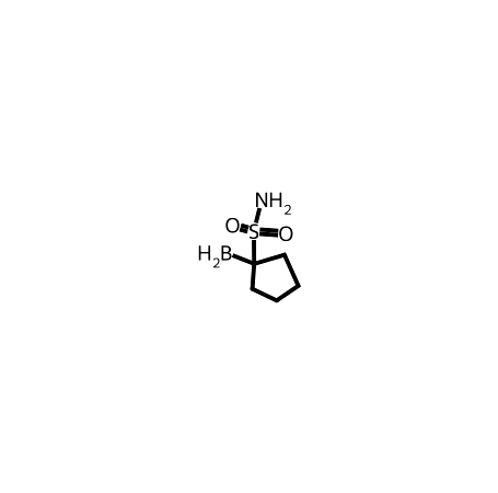 BC1(S(N)(=O)=O)CCCC1